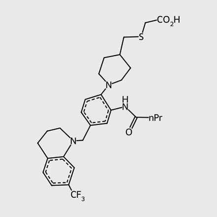 CCCC(=O)Nc1cc(CN2CCCc3ccc(C(F)(F)F)cc32)ccc1N1CCC(CSCC(=O)O)CC1